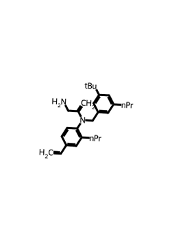 C=Cc1ccc(N(Cc2cc(CCC)cc(C(C)(C)C)c2)C(=C)CN)c(CCC)c1